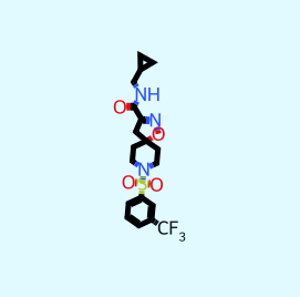 O=C(NCC1CC1)C1=NOC2(CCN(S(=O)(=O)c3cccc(C(F)(F)F)c3)CC2)C1